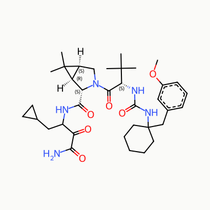 COc1cccc(CC2(NC(=O)N[C@H](C(=O)N3C[C@H]4[C@@H]([C@H]3C(=O)NC(CC3CC3)C(=O)C(N)=O)C4(C)C)C(C)(C)C)CCCCC2)c1